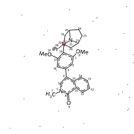 COc1cc(-c2cn(C)c(=O)c3ccccc23)cc(OC)c1CN1C2CCC1CN(C(C)C)C2